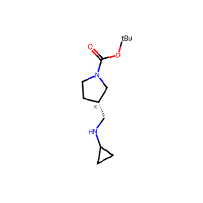 CC(C)(C)OC(=O)N1CC[C@@H](CNC2CC2)C1